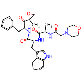 C[C@@H](NC(=O)CN1CCOCC1)C(=O)N[C@@H](Cc1c[nH]c2c1CCC=C2)C(=O)N[C@@H](Cc1ccccc1)C(=O)[C@@]1(C)CO1